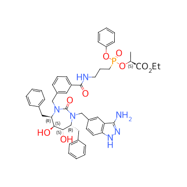 CCOC(=O)[C@H](C)OP(=O)(CCCNC(=O)c1cccc(CN2C(=O)N(Cc3ccc4[nH]nc(N)c4c3)[C@H](Cc3ccccc3)[C@H](O)[C@@H](O)[C@H]2Cc2ccccc2)c1)Oc1ccccc1